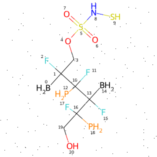 BC(F)(COS(=O)(=O)NS)C(F)(P)C(B)(F)C(F)(P)CO